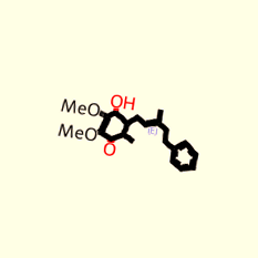 COC1=C(OC)C(O)C(C/C=C(\C)CCc2ccccc2)C(C)C1=O